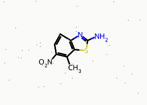 Cc1c([N+](=O)[O-])ccc2nc(N)sc12